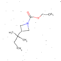 CCOC(=O)N1CC(C(C)(C)CC)C1